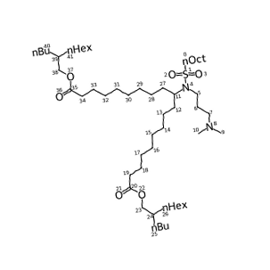 CCCCCCCCS(=O)(=O)N(CCCN(C)C)C(CCCCCCCCC(=O)OCC(CCCC)CCCCCC)CCCCCCCCC(=O)OCC(CCCC)CCCCCC